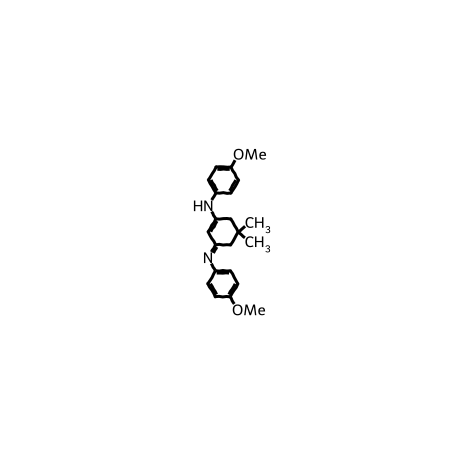 COc1ccc(/N=C2/C=C(Nc3ccc(OC)cc3)CC(C)(C)C2)cc1